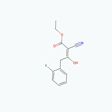 CCOC(=O)C(C#N)=C(O)Cc1ccccc1F